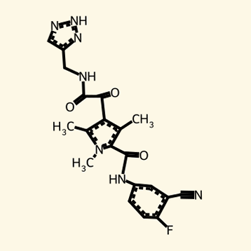 Cc1c(C(=O)C(=O)NCc2cn[nH]n2)c(C)n(C)c1C(=O)Nc1ccc(F)c(C#N)c1